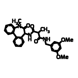 COc1cc(CNC(=O)C(C)C(=O)NC2C(=O)N(C)c3ccccc3-c3ccccc32)cc(OC)c1